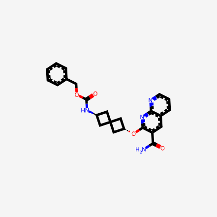 NC(=O)c1cc2cccnc2nc1O[C@H]1CC2(C[C@H](NC(=O)OCc3ccccc3)C2)C1